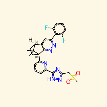 CC1(C)[C@H]2CC[C@@]1(c1cccc(-c3nc(CS(C)(=O)=O)n[nH]3)n1)c1nnc(-c3c(F)cccc3F)cc12